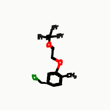 Cc1ccc(CCl)cc1OCCO[Si](C(C)C)(C(C)C)C(C)C